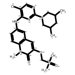 CC1CC(C)CN(c2ncc(Cl)c(Nc3ccc4c(c3)cc(OCP(C)(C)=O)c(=O)n4C)n2)C1